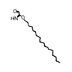 CCCCCCCCCCCCCCCCCCOC(=N)C=O